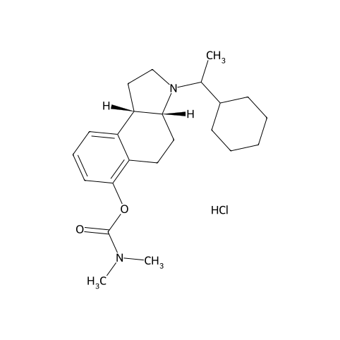 CC(C1CCCCC1)N1CC[C@H]2c3cccc(OC(=O)N(C)C)c3CC[C@H]21.Cl